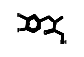 CN(Cc1ccc(F)c(F)c1)C(=O)CS